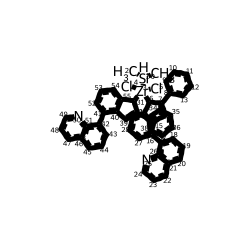 C[SiH](C)[Zr]([Cl])([Cl])([CH]1C(c2ccccc2)=Cc2c(-c3cccc4cccnc34)cccc21)[CH]1C(c2ccccc2)=Cc2c(-c3cccc4cccnc34)cccc21